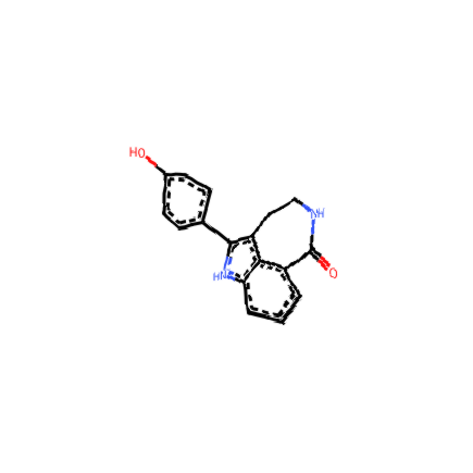 O=C1NCCc2c(-c3ccc(O)cc3)[nH]c3cccc1c23